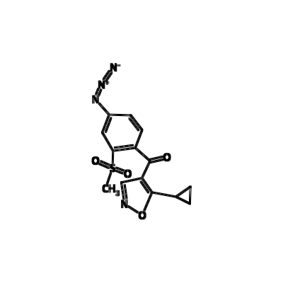 CS(=O)(=O)c1cc(N=[N+]=[N-])ccc1C(=O)c1cnoc1C1CC1